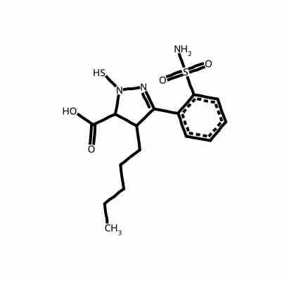 CCCCCC1C(c2ccccc2S(N)(=O)=O)=NN(S)C1C(=O)O